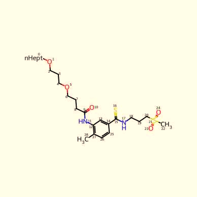 CCCCCCCOCCCOCCCC(=O)Nc1cc(C(=S)NCCCS(C)(=O)=O)ccc1C